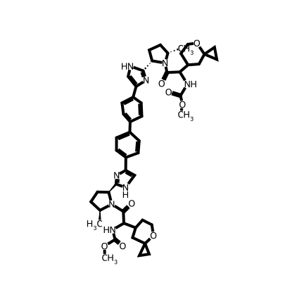 COC(=O)NC(C(=O)N1[C@@H](C)CC[C@H]1c1nc(-c2ccc(-c3ccc(-c4c[nH]c([C@@H]5CC[C@H](C)N5C(=O)C(NC(=O)OC)C5CCOC6(CC6)C5)n4)cc3)cc2)c[nH]1)C1CCOC2(CC2)C1